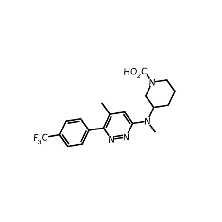 Cc1cc(N(C)C2CCCN(C(=O)O)C2)nnc1-c1ccc(C(F)(F)F)cc1